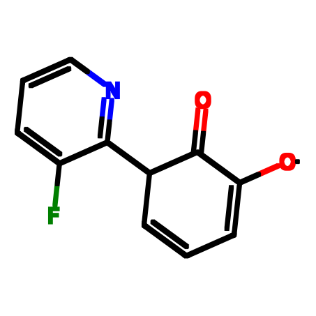 [O]C1=CC=CC(c2ncccc2F)C1=O